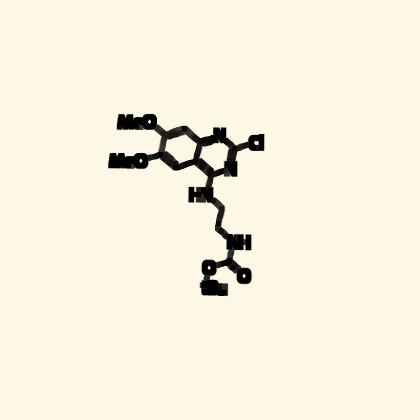 COc1cc2nc(Cl)nc(NCCNC(=O)OC(C)(C)C)c2cc1OC